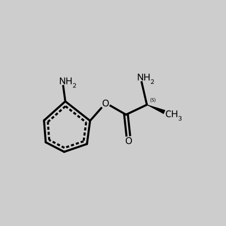 C[C@H](N)C(=O)Oc1ccccc1N